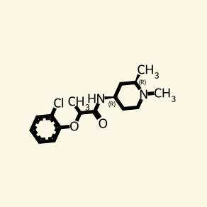 CC(Oc1ccccc1Cl)C(=O)N[C@@H]1CCN(C)[C@H](C)C1